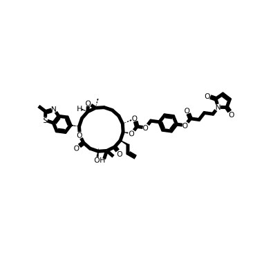 C=CC[C@H]1C(=O)C(C)(C)[C@@H](O)CC(=O)O[C@H](c2ccc3sc(C)nc3c2)C[C@H]2O[C@@]2(C)CCC[C@H](C)[C@@H]1OC(=O)OCc1ccc(OC(=O)CCCN2C(=O)C=CC2=O)cc1